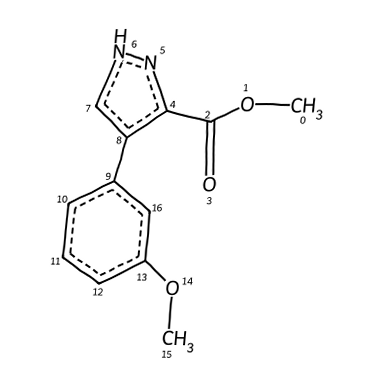 COC(=O)c1n[nH]cc1-c1cccc(OC)c1